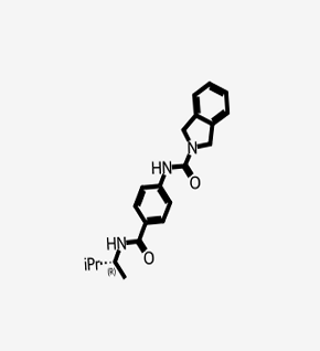 CC(C)[C@@H](C)NC(=O)c1ccc(NC(=O)N2Cc3ccccc3C2)cc1